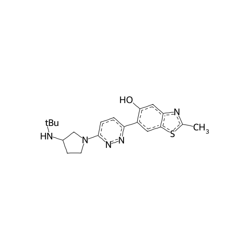 Cc1nc2cc(O)c(-c3ccc(N4CCC(NC(C)(C)C)C4)nn3)cc2s1